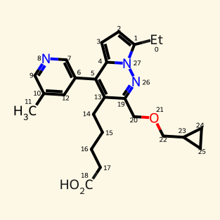 CCc1ccc2c(-c3cncc(C)c3)c(CCCCC(=O)O)c(COCC3CC3)nn12